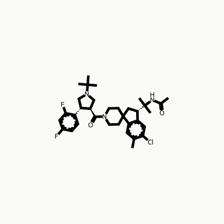 CC(=O)NC(C)(C)[C@H]1CC2(CCN(C(=O)[C@@H]3CN(C(C)(C)C)C[C@H]3c3ccc(F)cc3F)CC2)c2cc(C)c(Cl)cc21